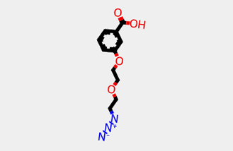 [N-]=[N+]=NCCOCCOc1cccc(C(=O)O)c1